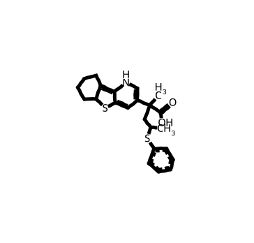 CC(CC(C)(C(=O)O)C1=CNC2=C3CCCCC3SC2=C1)Sc1ccccc1